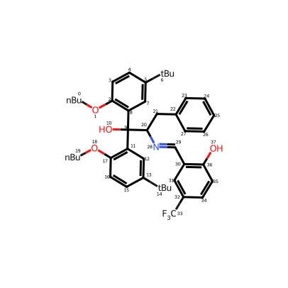 CCCCOc1ccc(C(C)(C)C)cc1C(O)(c1cc(C(C)(C)C)ccc1OCCCC)C(Cc1ccccc1)N=Cc1cc(C(F)(F)F)ccc1O